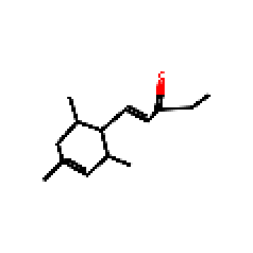 CCC(=O)C=CC1C(C)C=C(C)CC1C